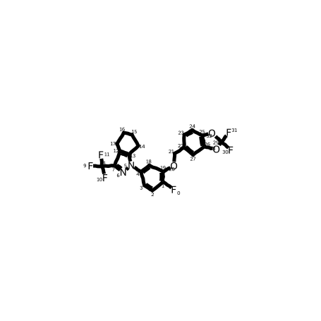 Fc1ccc(-n2nc(C(F)(F)F)c3c2CCCC3)cc1OCc1ccc2c(c1)OC(F)(F)O2